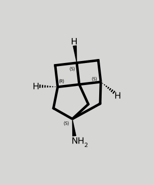 N[C@]12C[C@H]3C[C@@H]4C[C@@H](C1)C43C2